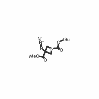 COC(=O)C1(N=[N+]=[N-])CN(C(=O)OC(C)(C)C)C1